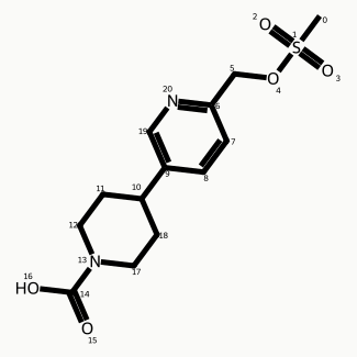 CS(=O)(=O)OCc1ccc(C2CCN(C(=O)O)CC2)cn1